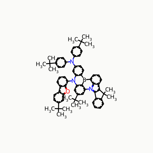 CC(C)(C)c1ccc(N(c2ccc(C(C)(C)C)cc2)c2ccc3c(c2)N(c2cccc4c2oc2cc(C(C)(C)C)ccc24)c2cc(C(C)(C)C)cc4c2B3c2cccc3c5c(n-4c23)-c2ccccc2C5(C)C)cc1